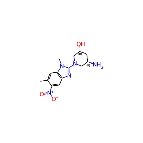 Cc1cc2c(cc1[N+](=O)[O-])nc(N1C[C@H](N)C[C@@H](O)C1)n2C